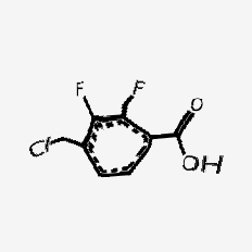 O=C(O)c1ccc(Cl)c(F)c1F